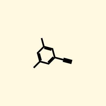 C#Cc1cc(C)cc(C)c1